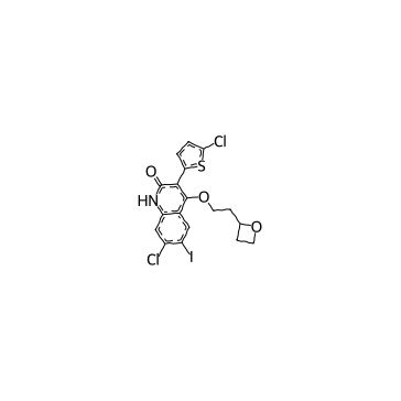 O=c1[nH]c2cc(Cl)c(I)cc2c(OCCC2CCO2)c1-c1ccc(Cl)s1